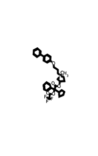 C[N+]1(CCCOc2ccc(-c3ccccc3)cc2)CCC(OC(=O)C(OC(=O)C(F)(F)F)(c2ccccc2)C2CCCC2)C1